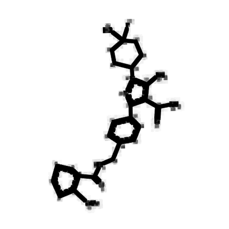 COc1ccccc1C(=O)NCc1ccc(-c2nn(C3CCC(O)(F)CC3)c(N)c2C(N)=O)cc1